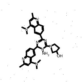 Cc1cc(N(C)C)c2cc(C3=NC(c4ccc5nc(C)cc(N(C)C)c5c4)N(N)C(N4CCC(O)C4)=N3)ccc2n1